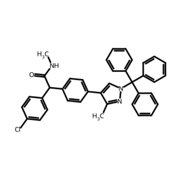 CNC(=O)C(c1ccc(Cl)cc1)c1ccc(-c2cn(C(c3ccccc3)(c3ccccc3)c3ccccc3)nc2C)cc1